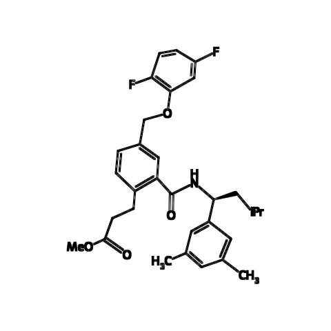 COC(=O)CCc1ccc(COc2cc(F)ccc2F)cc1C(=O)N[C@@H](CC(C)C)c1cc(C)cc(C)c1